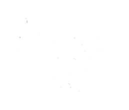 CCc1cccc(CC)c1-c1nc(C)c(COc2cc(C(C)C)ccc2C)c(OC(C)CN(CC)CC)n1